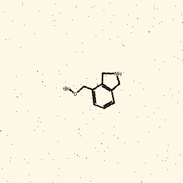 CC(C)(C)OCc1cccc2c1CNC2